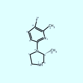 Cc1nc(N2CCNC[C@H]2C)ccc1F